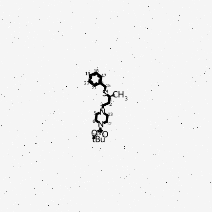 C[C@@H](CCN1CCN(C(=O)OC(C)(C)C)CC1)SCc1ccccc1